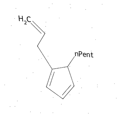 C=CCC1=CC=CC1CCCCC